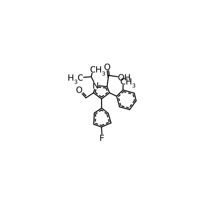 Cc1ccccc1-c1c(-c2ccc(F)cc2)c(C=O)n(C(C)C)c1C(=O)O